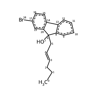 CCCC=CCC1(O)c2ccccc2-c2ccc(Br)cc21